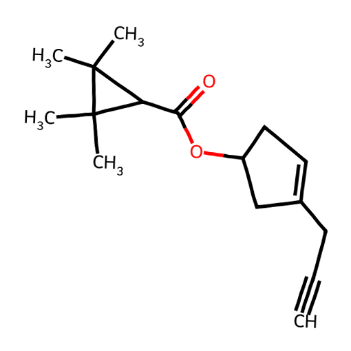 C#CCC1=CCC(OC(=O)C2C(C)(C)C2(C)C)C1